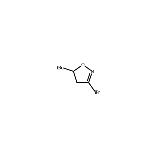 CC(C)C1=NOC(C(C)(C)C)C1